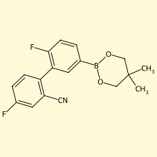 CC1(C)COB(c2ccc(F)c(-c3ccc(F)cc3C#N)c2)OC1